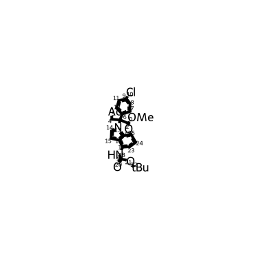 COC(=O)C(CC(C)=O)(c1ccc(Cl)cc1)n1ccc2c(NC(=O)OC(C)(C)C)cccc21